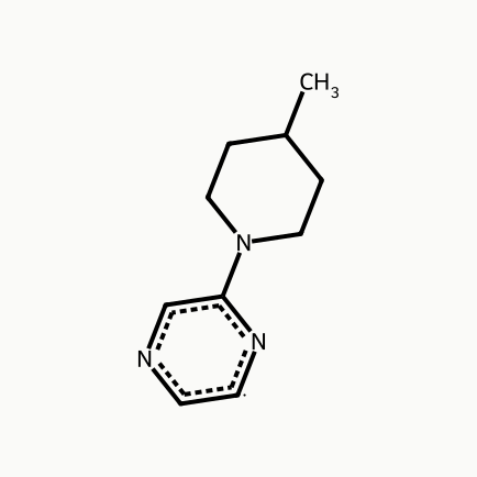 CC1CCN(c2cnc[c]n2)CC1